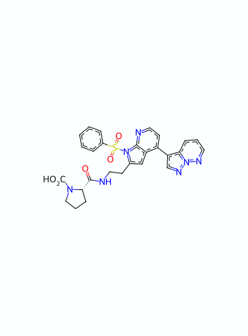 O=C(NCCc1cc2c(-c3cnn4ncccc34)ccnc2n1S(=O)(=O)c1ccccc1)[C@@H]1CCCN1C(=O)O